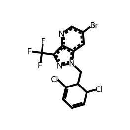 FC(F)(F)c1nn(CC2C(Cl)=CC=CC2Cl)c2cc(Br)cnc12